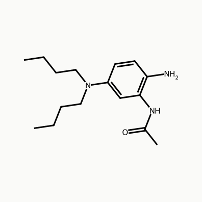 CCCCN(CCCC)c1ccc(N)c(NC(C)=O)c1